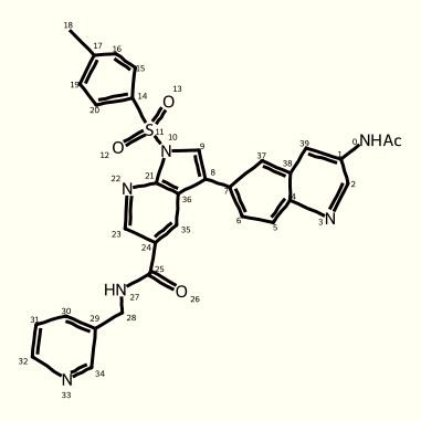 CC(=O)Nc1cnc2ccc(-c3cn(S(=O)(=O)c4ccc(C)cc4)c4ncc(C(=O)NCc5cccnc5)cc34)cc2c1